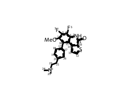 COc1c(F)c(F)c2[nH]c(=O)c3sccc3c2c1-c1ccc(CCN(C)C)cc1